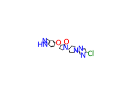 O=C1[C@@H](Oc2ccc3[nH]ncc3c2)CCN1C1CCN(c2cnc(Cl)cn2)CC1